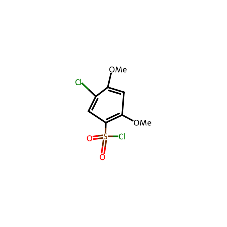 COc1cc(OC)c(S(=O)(=O)Cl)cc1Cl